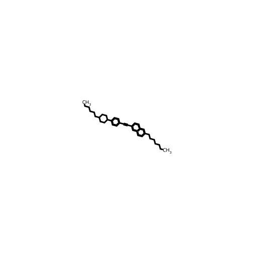 CCCCCCCc1ccc2cc(C#Cc3ccc(C4CCC(CCCCCC)CC4)cc3)ccc2c1